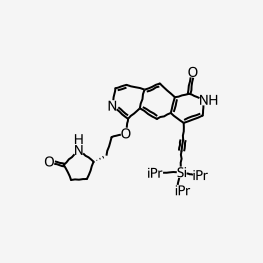 CC(C)[Si](C#Cc1c[nH]c(=O)c2cc3ccnc(OCC[C@@H]4CCC(=O)N4)c3cc12)(C(C)C)C(C)C